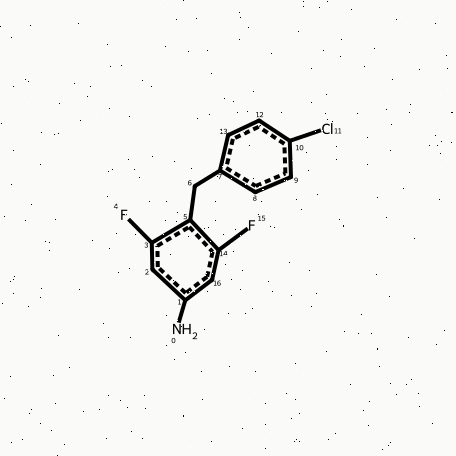 Nc1cc(F)c(Cc2ccc(Cl)cc2)c(F)c1